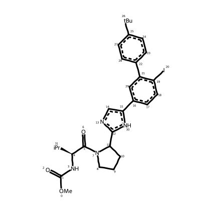 COC(=O)N[C@H](C(=O)N1CCCC1c1ncc(-c2ccc(I)c(-c3ccc(C(C)(C)C)cc3)c2)[nH]1)C(C)C